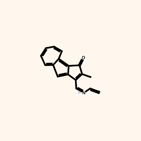 C=C/N=C\C1=C(C)C(=O)c2c1cc1cccccc2-1